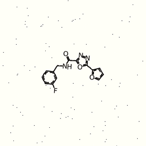 O=C(NCc1cccc(F)c1)c1nnc(-c2ccco2)o1